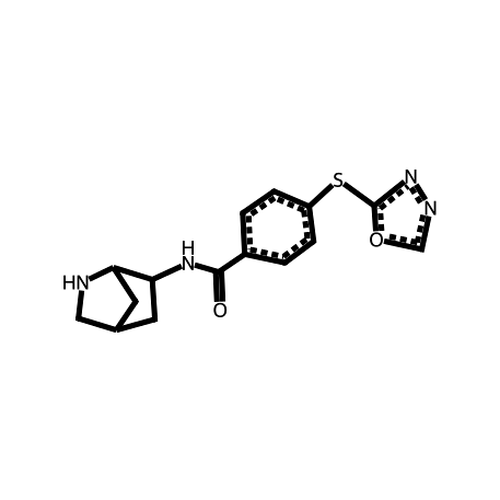 O=C(NC1CC2CNC1C2)c1ccc(Sc2nnco2)cc1